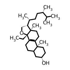 CC[C@@]12OC[C@H]([C@H](C)CC[C@H](C)C(C)C)[C@@]1(C)CCC1=C2CCC2C[C@@H](O)CC[C@]12C